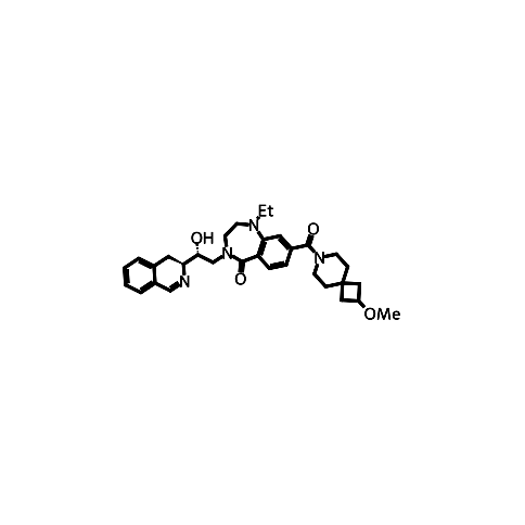 CCN1CCN(C[C@@H](O)[C@@H]2Cc3ccccc3C=N2)C(=O)c2ccc(C(=O)N3CCC4(CC3)CC(OC)C4)cc21